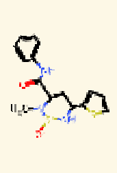 CN1C(C(=O)Nc2ccccc2)CC(c2cccs2)N[S+]1[O-]